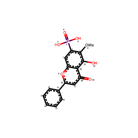 COc1c(P(=O)(O)O)cc2oc(-c3ccccc3)cc(=O)c2c1O